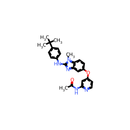 CC(=O)Nc1cc(Oc2ccc3c(c2)nc(Nc2ccc(C(C)(C)C)cc2)n3C)ccn1